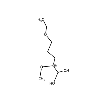 CCOCCC[SiH](OC)C(O)O